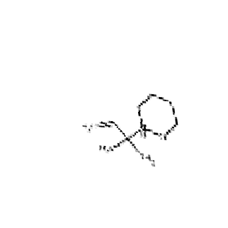 C=CC(N)(N)[SiH]1CCCCO1